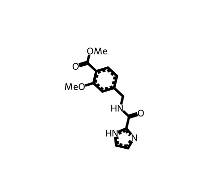 COC(=O)c1ccc(CNC(=O)c2ncc[nH]2)cc1OC